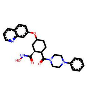 O=C(NO)[C@H]1CC(Oc2ccc3cccnc3c2)CCC1C(=O)N1CCN(c2ccccc2)CC1